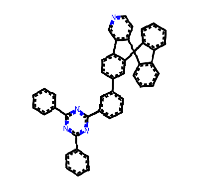 c1ccc(-c2nc(-c3ccccc3)nc(-c3cccc(-c4ccc5c(c4)C4(c6ccccc6-c6ccccc64)c4ccncc4-5)c3)n2)cc1